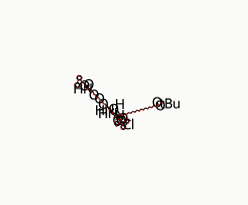 CC(C)(C)OC(=O)CCCCCCCCCCCCCCCCC(=O)N[C@@H](CCNC(=O)NCCCOCCOCCOCCCNC(=O)OCC1c2ccccc2-c2ccccc21)C(=O)OC(c1ccccc1)(c1ccccc1)c1ccccc1Cl